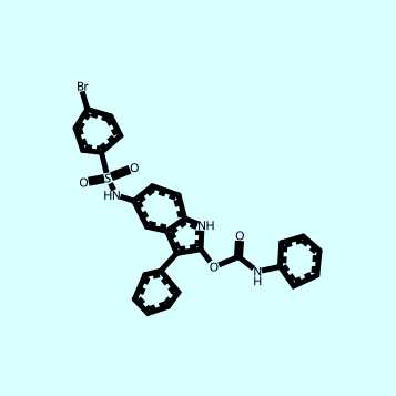 O=C(Nc1ccccc1)Oc1[nH]c2ccc(NS(=O)(=O)c3ccc(Br)cc3)cc2c1-c1ccccc1